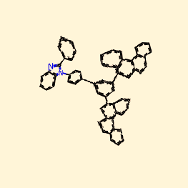 c1ccc(-c2nc3ccccc3n2-c2ccc(-c3cc(-c4cc5ccc6ccccc6c5c5ccccc45)cc(-c4cc5ccc6ccccc6c5c5ccccc45)c3)cc2)cc1